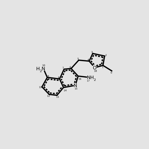 Cc1ccc(Cc2cc3c(N)cccc3nc2N)o1